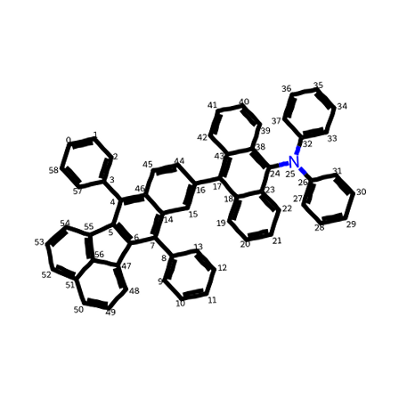 c1ccc(-c2c3c(c(-c4ccccc4)c4cc(-c5c6ccccc6c(N(c6ccccc6)c6ccccc6)c6ccccc56)ccc24)-c2cccc4cccc-3c24)cc1